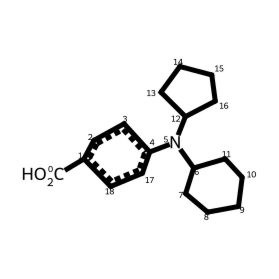 O=C(O)c1ccc(N(C2CCCCC2)C2CCCC2)cc1